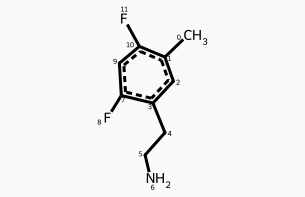 Cc1cc(CCN)c(F)cc1F